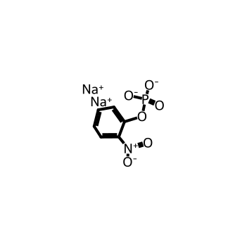 O=[N+]([O-])c1ccccc1OP(=O)([O-])[O-].[Na+].[Na+]